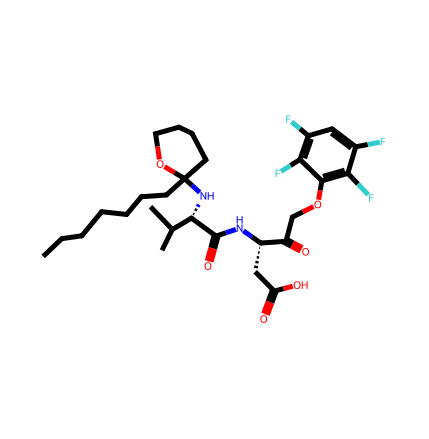 CCCCCCCC1(N[C@H](C(=O)N[C@@H](CC(=O)O)C(=O)COc2c(F)c(F)cc(F)c2F)C(C)C)CCCCO1